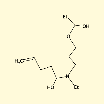 C=CCCC(O)N(CC)CCCOC(O)CC